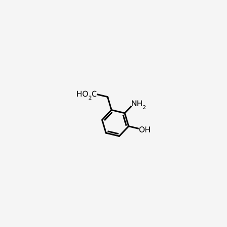 Nc1c(O)cccc1CC(=O)O